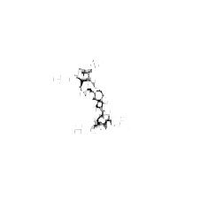 CC(=O)Cn1nc(C)c2cnc(N3CCC4(CN(c5cc(C)nc(C(F)(F)F)n5)C4)C3)nc21